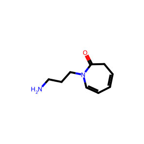 NCCCN1C=CC=CCC1=O